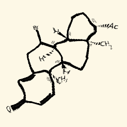 CC(=O)[C@H]1CC[C@H]2[C@@H]3C(Br)CC4=CC(=O)C=C[C@]4(C)[C@H]3CC[C@]12C